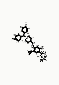 CS(=O)(=O)NC(=O)c1cc(C2CC2)c(OCC2CCN(C(c3ccc(F)cc3)c3ccc(F)cc3)CC2)cc1F